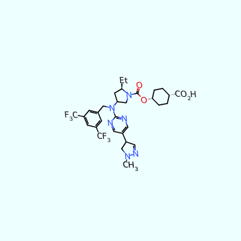 CC[C@@H]1C[C@H](N(Cc2cc(C(F)(F)F)cc(C(F)(F)F)c2)c2ncc(C3C=NN(C)C3)cn2)CN1C(=O)O[C@H]1CC[C@@H](C(=O)O)CC1